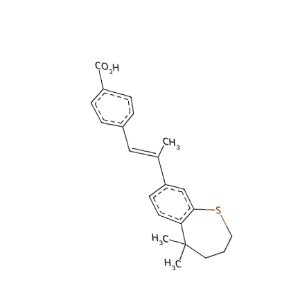 C/C(=C\c1ccc(C(=O)O)cc1)c1ccc2c(c1)SCCCC2(C)C